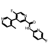 Cc1ccncc1-c1cc(C(=O)Nc2ccc(F)cn2)ncc1F